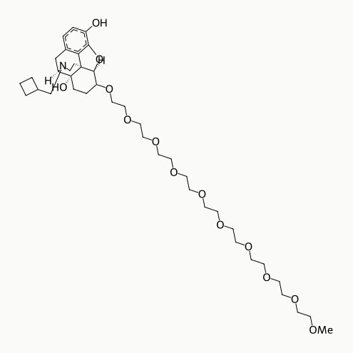 COCCOCCOCCOCCOCCOCCOCCOCCOCCOC1CC[C@@]2(O)[C@H]3Cc4ccc(O)c5c4[C@@]2(CCN3CC2CCC2)[C@H]1O5